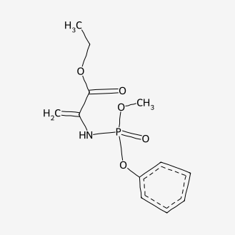 C=C(NP(=O)(OC)Oc1ccccc1)C(=O)OCC